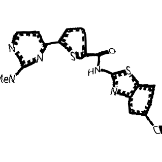 CNc1nccc(-c2ccc(C(=O)Nc3nc4cc(Cl)ccc4s3)s2)n1